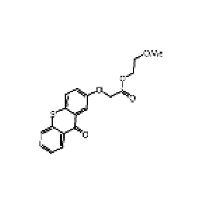 COCCOC(=O)COc1ccc2sc3ccccc3c(=O)c2c1